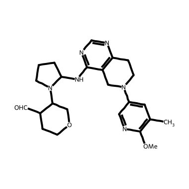 COc1ncc(N2CCc3ncnc(NC4CCCN4C4COCCC4C=O)c3C2)cc1C